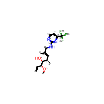 C=C[C@H](OC)[C@@H](O)[C@H](C)C=C(C)CNc1nccc(C(F)(F)F)n1